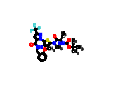 COc1ccccc1CNC(=O)c1cc(C(F)(F)F)nn1-c1ccc(N(C)C(=O)[C@H](C)NC(=O)OC(C)(C)C)s1